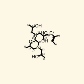 C/C=C(\C)C(=O)O.CC(O)CN(CCN(CC(C)O)CC(C)O)CC(C)O